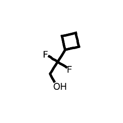 OCC(F)(F)C1CCC1